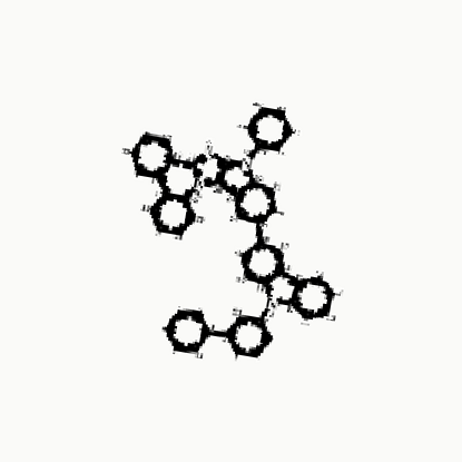 c1ccc(-c2cccc(-n3c4ccccc4c4cc(-c5ccc6c(c5)c5c(nc7c8ccccc8c8ccccc8n75)n6-c5ccccc5)ccc43)c2)cc1